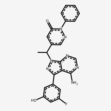 CC(c1cnn(-c2ccccc2)c(=O)c1)n1nc(-c2cc(O)cc(F)c2)c2c(N)ncnc21